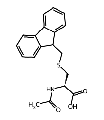 CC(=O)N[C@@H](CSCC1c2ccccc2-c2ccccc21)C(=O)O